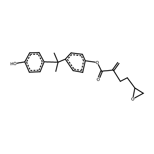 C=C(CCC1CO1)C(=O)Oc1ccc(C(C)(C)c2ccc(O)cc2)cc1